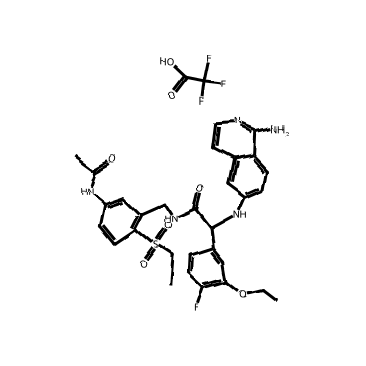 CCOc1cc(C(Nc2ccc3c(N)nccc3c2)C(=O)NCc2cc(NC(C)=O)ccc2S(=O)(=O)CC)ccc1F.O=C(O)C(F)(F)F